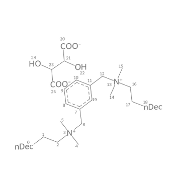 CCCCCCCCCCCC[N+](C)(C)Cc1cccc(C[N+](C)(C)CCCCCCCCCCCC)c1.O=C([O-])C(O)C(O)C(=O)[O-]